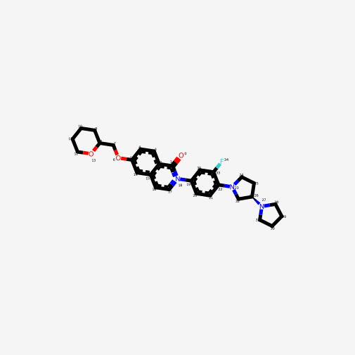 O=c1c2ccc(OCC3CCCCO3)cc2ccn1-c1ccc(N2CC[C@@H](N3CCCC3)C2)c(F)c1